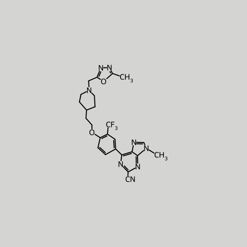 Cc1nnc(CN2CCC(CCOc3ccc(-c4nc(C#N)nc5c4ncn5C)cc3C(F)(F)F)CC2)o1